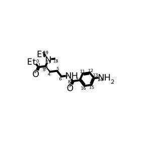 CCC(=O)[C@H](CCCNC(=O)c1ccc(N)cc1)N(C)CC